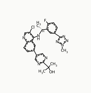 C[C@@H](Nc1c(Cl)cnc2ccc(-c3cnc(C(C)(C)O)nc3)cc12)c1cc(-c2nnn(C)n2)ccc1F